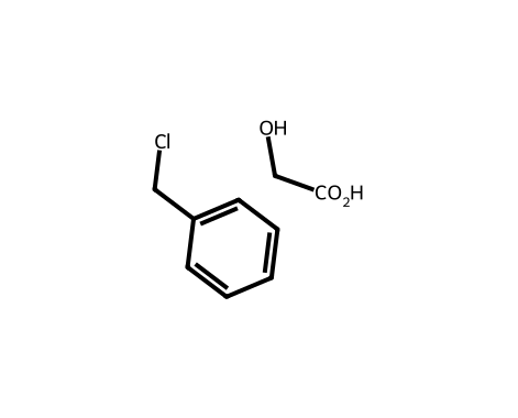 ClCc1ccccc1.O=C(O)CO